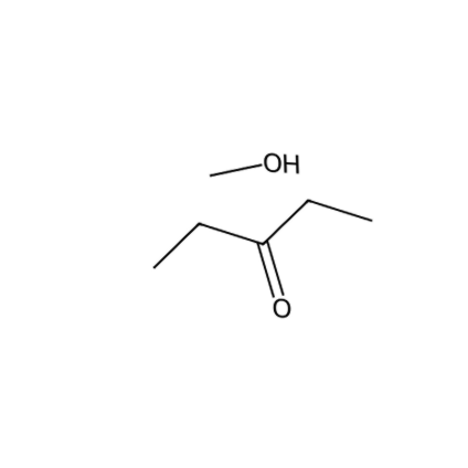 CCC(=O)CC.CO